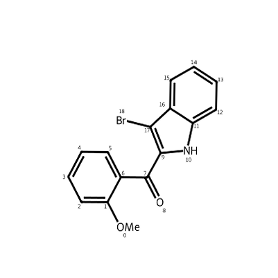 COc1ccccc1C(=O)c1[nH]c2ccccc2c1Br